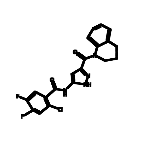 O=C(Nc1cc(C(=O)N2CCCc3ccccc32)n[nH]1)c1cc(F)c(F)cc1Cl